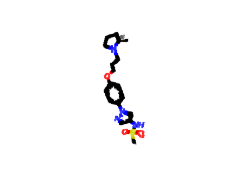 C[C@@H]1CCCN1CCCOc1ccc(-n2cc(NS(C)(=O)=O)cn2)cc1